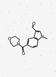 Cn1cc(C=O)c2cc(C(=O)N3CCOCC3)ccc21